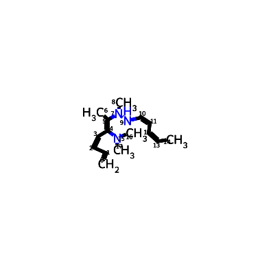 C=C/C=C\C(=C(/C)N(C)N/C=C\C=C/C)N(C)C